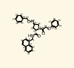 O=C(NCc1cccc2ccccc12)[C@@H]1C/C(=N\OCc2ccccc2)CN1C(=O)COc1ccccc1